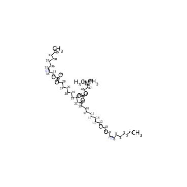 CCCCCC/C=C\COCOCCCCCCCCC(CCCCCCCCOC(=O)OC/C=C\CCCCCC)OC(=O)OCCN(C)C